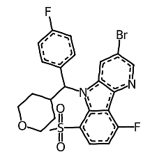 CS(=O)(=O)c1ccc(F)c2c3ncc(Br)cc3n(C(c3ccc(F)cc3)C3CCOCC3)c12